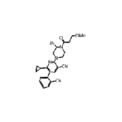 COCCC(=O)N1CCN(c2nc(C3CC3)c(-c3ccccc3C#N)cc2C#N)CC1C(C)C